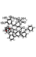 CO[C@]1(N)C(=O)N2C(C(=O)OC(c3ccccc3)c3ccccc3)=C(SC(Sc3c[nH]nn3)C(c3ccccc3)(c3ccccc3)c3ccccc3)C(=Cc3cc(C(C)(C)C)c(O)c(C(C)(C)C)c3)S[C@H]21